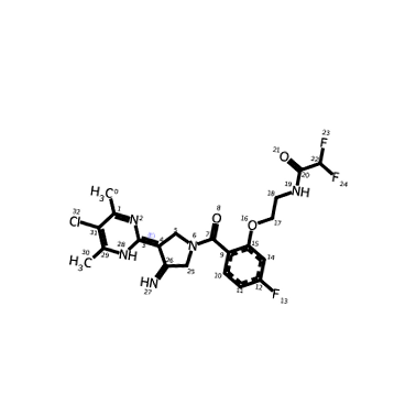 CC1=N/C(=C2\CN(C(=O)c3ccc(F)cc3OCCNC(=O)C(F)F)CC2=N)NC(C)=C1Cl